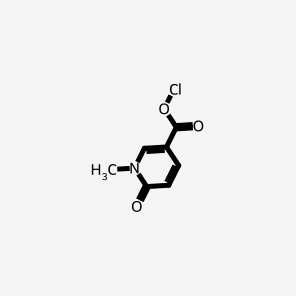 Cn1cc(C(=O)OCl)ccc1=O